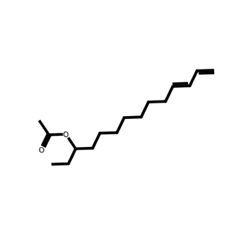 C=C/C=C/CCCCCCCC(CC)OC(C)=O